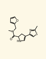 Cc1nc(C2=CNC(C(=O)N(C)Cc3ccco3)C2)cs1